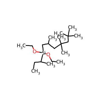 CCO[Si](CC(C)CC(C)(C)CC(C)(C)C)(OCC)C(C)CC